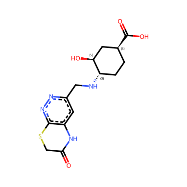 O=C1CSc2nnc(CN[C@H]3CC[C@H](C(=O)O)C[C@@H]3O)cc2N1